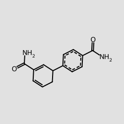 NC(=O)C1=CC(c2ccc(C(N)=O)cc2)CC=C1